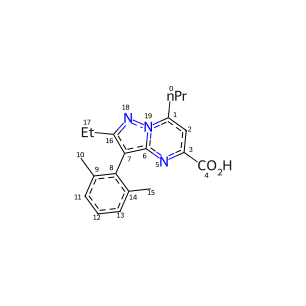 CCCc1cc(C(=O)O)nc2c(-c3c(C)cccc3C)c(CC)nn12